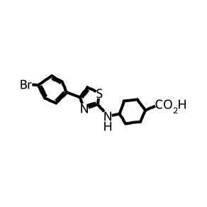 O=C(O)C1CCC(Nc2nc(-c3ccc(Br)cc3)cs2)CC1